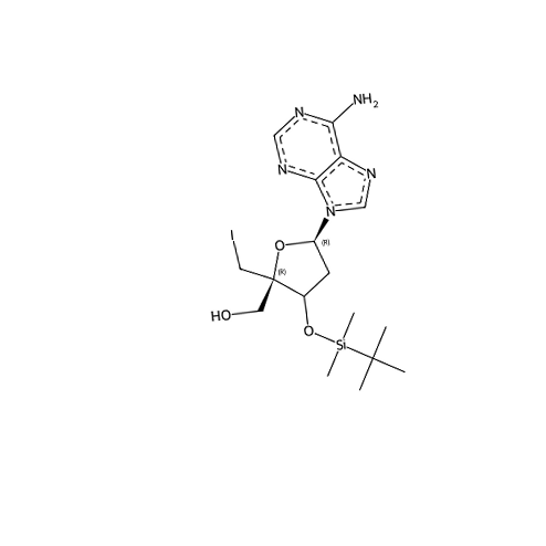 CC(C)(C)[Si](C)(C)OC1C[C@H](n2cnc3c(N)ncnc32)O[C@@]1(CO)CI